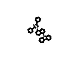 c1ccc(-c2nc(-c3ccccc3)n(-c3cccc4c(-n5c6ccccc6c6ccccc65)cccc34)n2)cc1